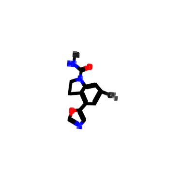 CCNC(=O)N1CCc2c(-c3cnco3)cc(C(F)(F)F)cc21